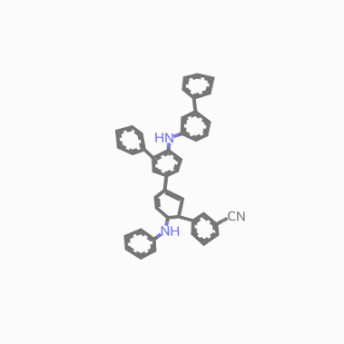 N#Cc1cccc(C2C=C(c3ccc(Nc4cccc(-c5ccccc5)c4)c(-c4ccccc4)c3)C=CC2Nc2ccccc2)c1